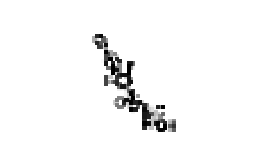 O=C(CO)NCC1CN(c2cc(F)c(N3CCN(C4COC4)CC3)c(F)c2)C(=O)O1